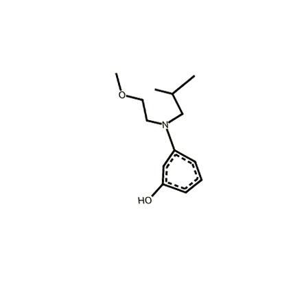 COCCN(CC(C)C)c1cccc(O)c1